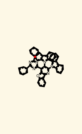 c1ccc(-c2nc(-c3ccccc3)nc(-c3c(-n4c5ccccc5c5ccccc54)c(-n4c5ccccc5c5ccccc54)nc4c3oc3ccccc34)n2)cc1